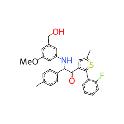 COc1cc(CO)cc(NC(C(=O)c2cc(C)sc2-c2ccccc2F)c2ccc(C)cc2)c1